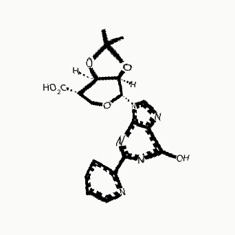 CC1(C)O[C@@H]2[C@H](O1)[C@@H](C(=O)O)O[C@H]2n1cnc2c(O)nc(-c3ccccn3)nc21